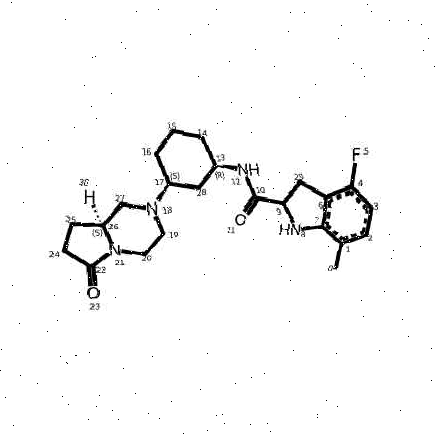 Cc1ccc(F)c2c1NC(C(=O)N[C@@H]1CCC[C@H](N3CCN4C(=O)CC[C@H]4C3)C1)C2